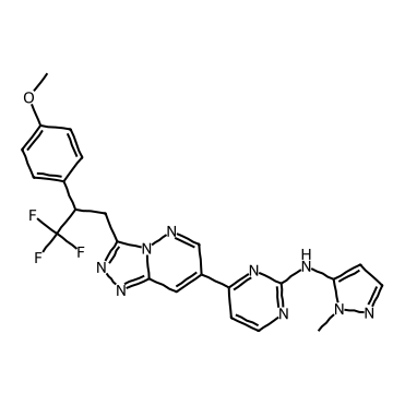 COc1ccc(C(Cc2nnc3cc(-c4ccnc(Nc5ccnn5C)n4)cnn23)C(F)(F)F)cc1